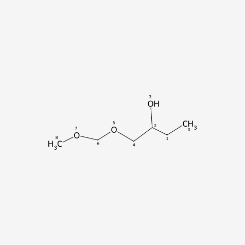 CCC(O)COCOC